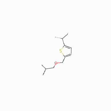 CC(C)COCc1ccc(C(C)C)s1